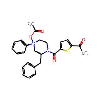 O=C(c1ccc(C(=O)C(F)(F)F)s1)N1CC[N+](OC(=O)C(F)(F)F)(c2ccccc2)CC1Cc1ccccc1